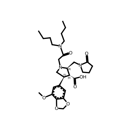 CCCCN(CCCC)C(=O)CN1C[C@H](c2cc(OC)c3c(c2)OCO3)[C@@H](C(=O)O)[C@@H]1CN1CCCC1=O